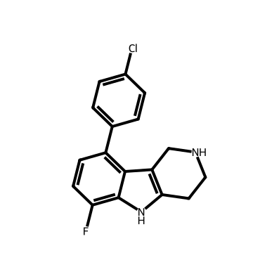 Fc1ccc(-c2ccc(Cl)cc2)c2c3c([nH]c12)CCNC3